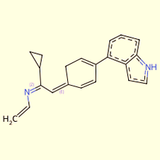 C=C/N=C(\C=C1\C=CC(c2cccc3[nH]ccc23)=CC1)C1CC1